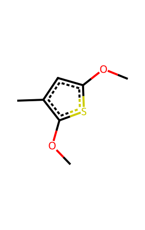 COc1cc(C)c(OC)s1